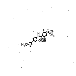 COc1cc(-c2cnn(C)c2)ccc1Nc1n[nH]c2cc(C(C)(C)O)ccc12